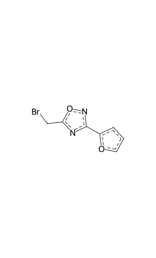 BrCc1nc(-c2ccco2)no1